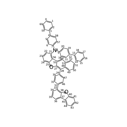 c1ccc(-c2ccc(N(c3ccc(-c4ccccc4)cc3)c3cccc4oc5c(-c6ccc(-c7cccc8c7oc7ccccc78)cc6)c6ccccc6cc5c34)cc2)cc1